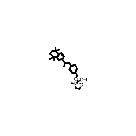 CC(=Cc1ccc(CO[P]2(O)OCCN2C)cc1)c1ccc2c(c1)C(C)(C)CCC2(C)C